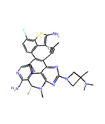 CC#Cc1c(-c2ccc(F)c3sc(N)c(C#N)c23)c(F)cc2c(N(C)[C@H](C)c3nccnc3N)nc(N3CC(C)(N(C)C)C3)nc12